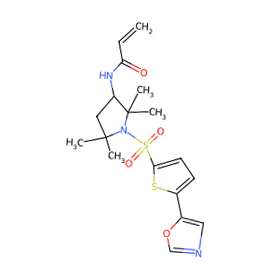 C=CC(=O)NC1CC(C)(C)N(S(=O)(=O)c2ccc(-c3cnco3)s2)C1(C)C